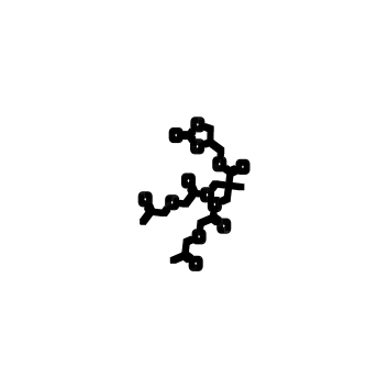 CC(=O)COCC(=O)OCC(C)(COC(=O)COCC(C)=O)C(=O)OCC1COC(=O)O1